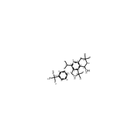 CC(C)c1nc2c(c3c1[C@@H](c1ccc(C(F)(F)F)cc1)OC3(C)C)C(O)CC(C)(C)C2